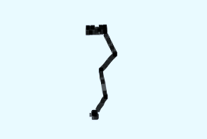 CNCCC[S]